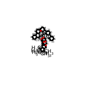 CC1(C)c2ccc(-c3cccc(-n4c5ccccc5c5ccc6c7ccccc7n(-c7nc(-c8ccccc8)nc(-c8ccccc8-c8ccccc8)n7)c6c54)c3)cc2C(C)(C)C1(C)C